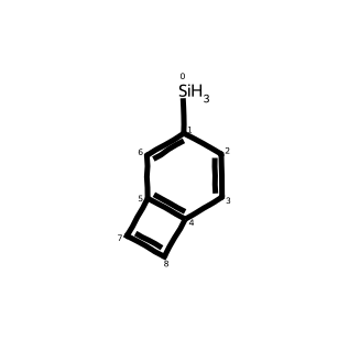 [SiH3]c1ccc2c(c1)C=C2